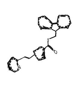 O=C(SCC1c2ccccc2-c2ccccc21)c1ccc(CCc2ccccn2)cc1